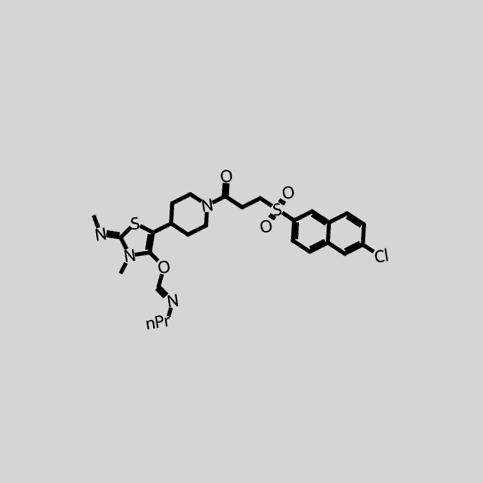 CCCN=COc1c(C2CCN(C(=O)CCS(=O)(=O)c3ccc4cc(Cl)ccc4c3)CC2)s/c(=N\C)n1C